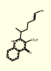 CCC/C=C/CCC(C)c1[nH]c2ccccc2c(=O)c1C(=O)O